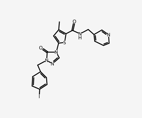 Cc1cc(-n2cnn(Cc3ccc(I)cc3)c2=O)sc1C(=O)NCc1cccnc1